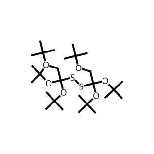 CC(C)(C)OCC(OC(C)(C)C)(OC(C)(C)C)SSC(COC(C)(C)C)(OC(C)(C)C)OC(C)(C)C